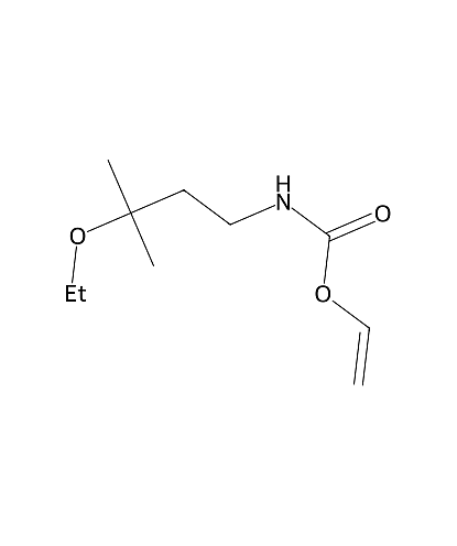 C=COC(=O)NCCC(C)(C)OCC